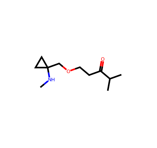 CNC1(COCCC(=O)C(C)C)CC1